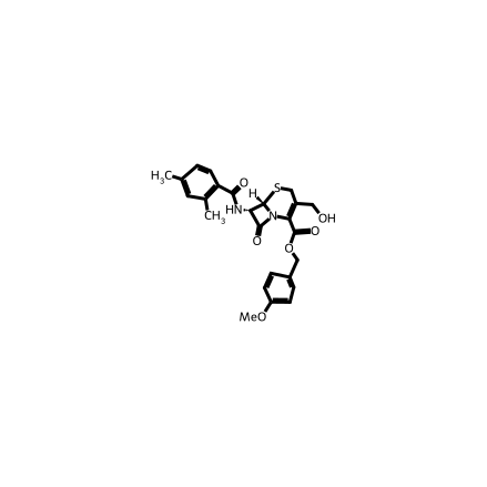 COc1ccc(COC(=O)C2=C(CO)CS[C@H]3[C@@H](NC(=O)c4ccc(C)cc4C)C(=O)N23)cc1